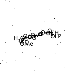 C=C(CO)C(=O)OCCOc1ccc(/C=C/C(=O)Oc2ccc(OC(=O)C(=C)CC(=O)OC)cc2)cc1